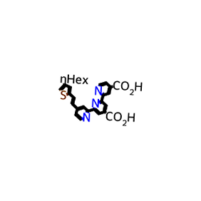 CCCCCCc1csc(/C=C/c2ccnc(-c3cc(C(=O)O)cc(-c4cc(C(=O)O)ccn4)n3)c2)c1